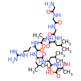 CC(C)C[C@H](NC(=O)CNC(=O)CNC(=O)CN)C(=O)N[C@@H](C)C(=O)N[C@@H](CCCNC(=N)N)C(=O)N[C@@H](CC(C)C)C(=O)N[C@@H](CC(C)C)C(=O)N[C@H](C(=O)O)[C@@H](C)O